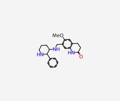 COc1cc2c(cc1CNC1CCCNC1c1ccccc1)NC(=O)CC2